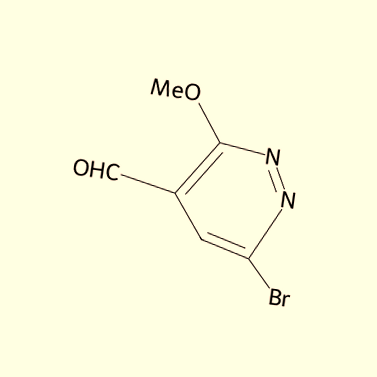 COc1nnc(Br)cc1C=O